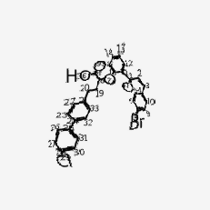 O=C(/C=C\c1ccc(Br)cc1)c1ccccc1OC(CCc1ccc(-c2ccc(Cl)cc2)cc1)C(=O)O